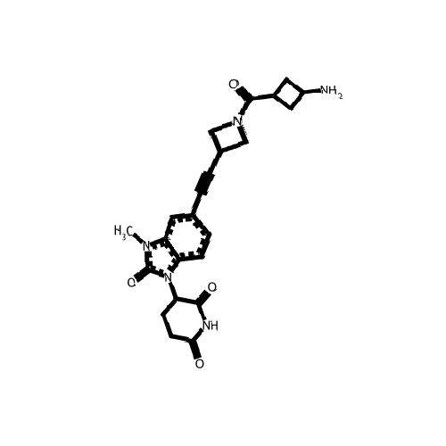 Cn1c(=O)n(C2CCC(=O)NC2=O)c2ccc(C#CC3CN(C(=O)C4CC(N)C4)C3)cc21